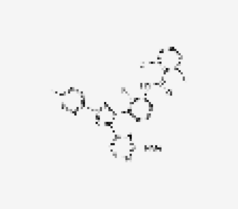 CNc1nccc(-c2sc(-c3ccc(F)cn3)nc2-c2cccc(N[S+]([O-])c3c(Cl)cccc3Cl)c2F)n1